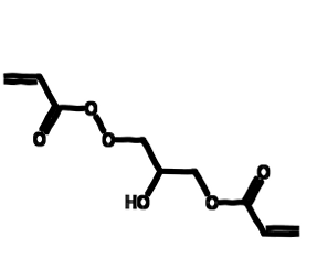 C=CC(=O)OCC(O)COOC(=O)C=C